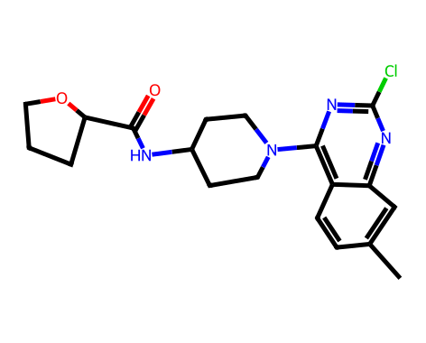 Cc1ccc2c(N3CCC(NC(=O)C4CCCO4)CC3)nc(Cl)nc2c1